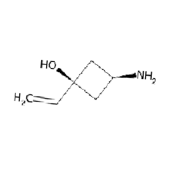 C=C[C@]1(O)C[C@@H](N)C1